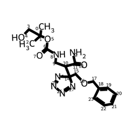 CC(C)(CO)OC(=O)NCC(C(N)=O)C1(COCc2ccccc2)N=NN=N1